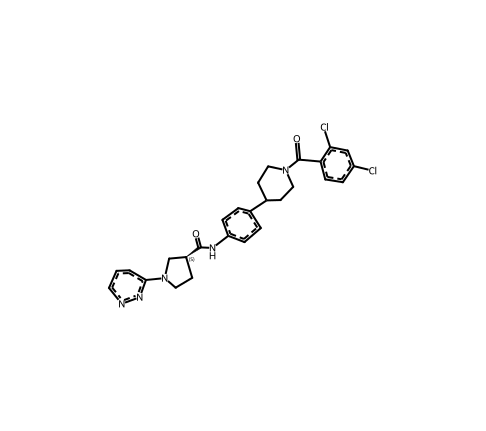 O=C(Nc1ccc(C2CCN(C(=O)c3ccc(Cl)cc3Cl)CC2)cc1)[C@H]1CCN(c2cccnn2)C1